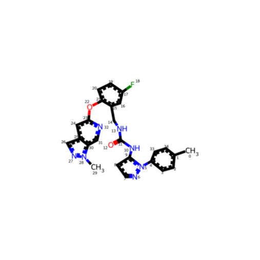 Cc1ccc(-n2nccc2NC(=O)NCc2cc(F)ccc2Oc2cc3cnn(C)c3cn2)cc1